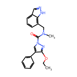 CCOc1nn(C(=O)N(C)Cc2cccc3cn[nH]c23)cc1-c1ccccc1